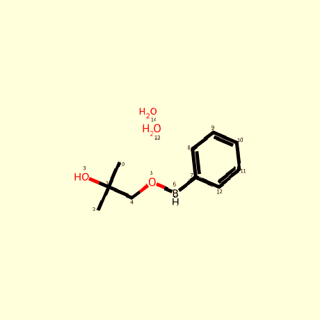 CC(C)(O)COBc1ccccc1.O.O